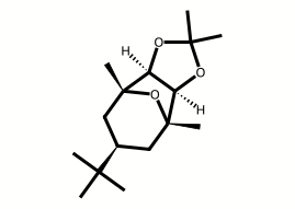 CC1(C)O[C@@H]2[C@H](O1)[C@@]1(C)C[C@H](C(C)(C)C)C[C@]2(C)O1